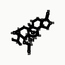 CC(C)C12OC1CC1(O)C3(C)CCC4=C(COC4=O)C3CCC1(O)C2OC=O